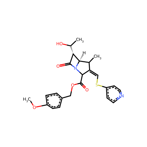 COc1ccc(COC(=O)C2/C(=C\Sc3ccncc3)C(C)[C@@H]3[C@@H](C(C)O)C(=O)N23)cc1